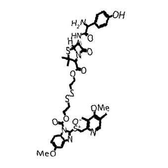 COC1=CCC2C(=C1)N=C([S+]([O-])Cc1ncc(C)c(OC)c1C)N2C(=O)OCCSSCCOC(=O)C1N2C(=O)[C@@H](NC(=O)C(N)c3ccc(O)cc3)[C@H]2SC1(C)C